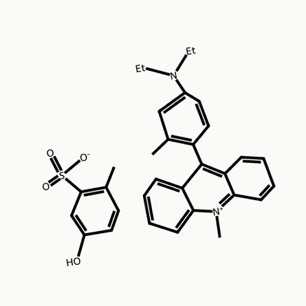 CCN(CC)c1ccc(-c2c3ccccc3[n+](C)c3ccccc23)c(C)c1.Cc1ccc(O)cc1S(=O)(=O)[O-]